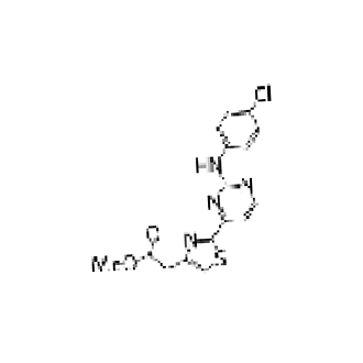 COC(=O)Cc1csc(-c2ccnc(Nc3ccc(Cl)cc3)n2)n1